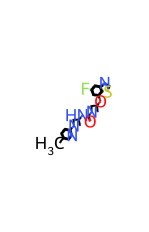 Cc1ccc(N2CC(NC(=O)N3CC(Oc4cc(F)cc5ncsc45)C3)C2)nc1